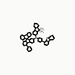 CC1(C)c2ccccc2-c2ccc(N(c3ccc(-c4cccc5c4sc4ccccc45)cc3)c3ccc4c(c3)C3(c5ccccc5-c5ccccc53)c3cccc(-c5ccccc5)c3-4)cc21